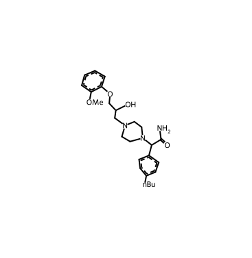 CCCCc1ccc(C(C(N)=O)N2CCN(CC(O)COc3ccccc3OC)CC2)cc1